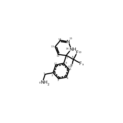 NCc1cccc(C2(C(F)(F)F)C=CC=NN2)c1